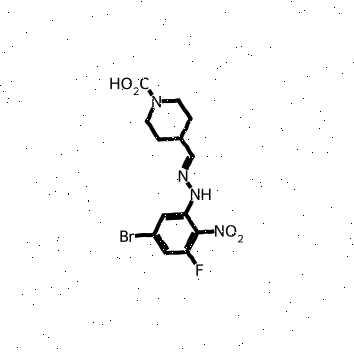 O=C(O)N1CCC(C=NNc2cc(Br)cc(F)c2[N+](=O)[O-])CC1